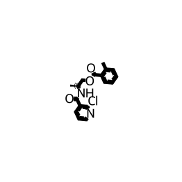 Cc1ccccc1C(=O)OC[C@H](C)NC(=O)c1cccnc1Cl